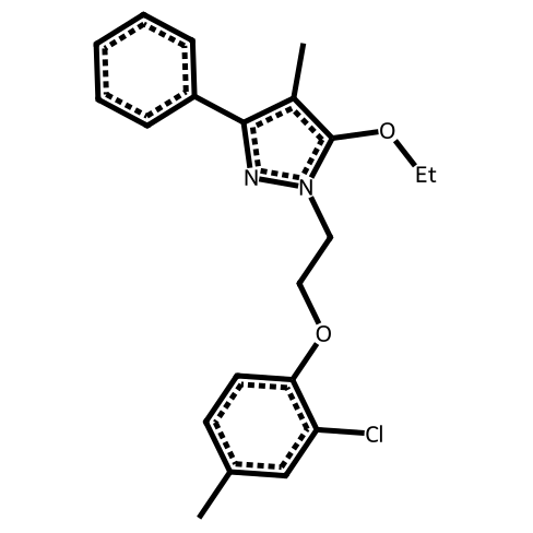 CCOc1c(C)c(-c2ccccc2)nn1CCOc1ccc(C)cc1Cl